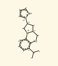 CC(C)c1ccnc2c1OCC1CC(n3cccn3)CN21